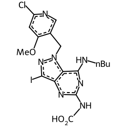 CCCCNc1nc(NC(=O)O)nc2c(I)nn(Cc3cnc(Cl)cc3OC)c12